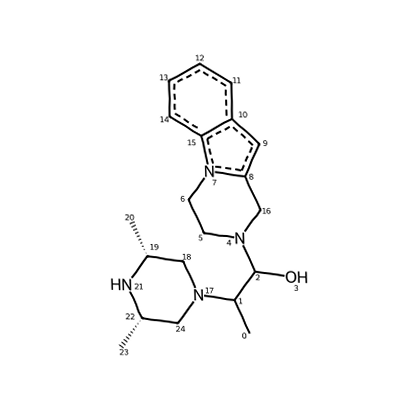 CC(C(O)N1CCn2c(cc3ccccc32)C1)N1C[C@@H](C)N[C@@H](C)C1